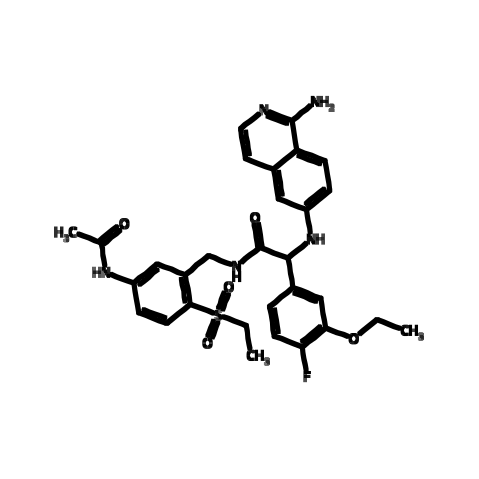 CCOc1cc(C(Nc2ccc3c(N)nccc3c2)C(=O)NCc2cc(NC(C)=O)ccc2S(=O)(=O)CC)ccc1F